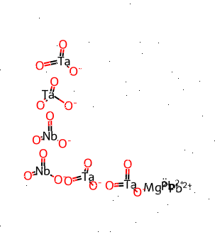 [Mg+2].[O]=[Nb](=[O])[O-].[O]=[Nb](=[O])[O-].[O]=[Ta](=[O])[O-].[O]=[Ta](=[O])[O-].[O]=[Ta](=[O])[O-].[O]=[Ta](=[O])[O-].[Pb+2].[Pb+2]